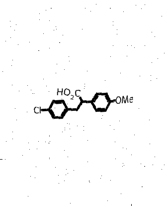 COc1ccc(C(Cc2ccc(Cl)cc2)C(=O)O)cc1